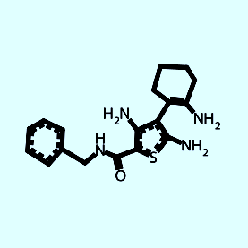 NC1=C(c2c(N)sc(C(=O)NCc3ccccc3)c2N)CCCC1